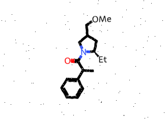 CC[C@@H]1CC(COC)CN1C(=O)C(C)c1ccccc1